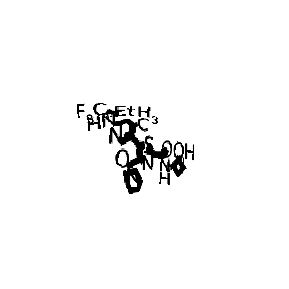 CC[C@H](Nc1cc(C)c(-c2sc(C(=O)N[C@@H]3CC[C@H]3O)nc2C(=O)N2C3CCC2CC3)cn1)C(F)(F)F